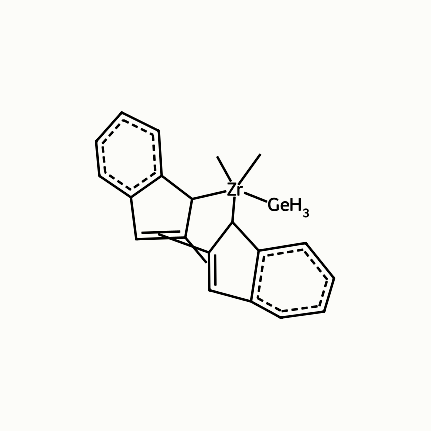 CC1=Cc2ccccc2[CH]1[Zr]([CH3])([CH3])([GeH3])[CH]1C(C)=Cc2ccccc21